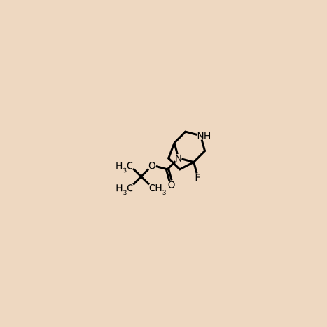 CC(C)(C)OC(=O)N1C2CCC1(F)CNC2